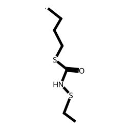 [CH2]CCCSC(=O)NSCC